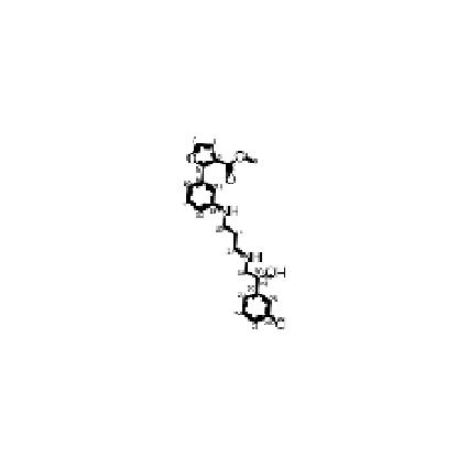 COC(=O)c1ccoc1-c1cccc(NCCCNC[C@@H](O)c2cccc(Cl)c2)c1